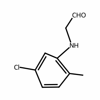 Cc1ccc(Cl)cc1NCC=O